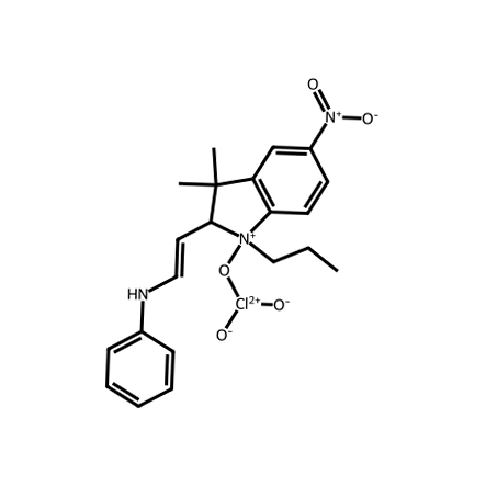 CCC[N+]1(O[Cl+2]([O-])[O-])c2ccc([N+](=O)[O-])cc2C(C)(C)C1C=CNc1ccccc1